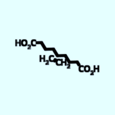 C=C.O=C(O)CCCCCCCC(=O)O